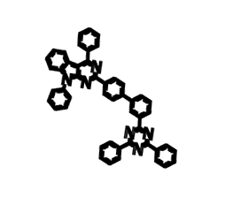 c1ccc(-c2nc(-c3ccccc3)nc(-c3cccc(-c4ccc(-c5nc(-c6ccccc6)c6c7ccccc7n(-c7ccccc7)c6n5)cc4)c3)n2)cc1